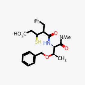 CNC(=O)[C@@H](NC(=O)C(CC(C)C)C(S)CC(=O)O)[C@@H](C)OCc1ccccc1